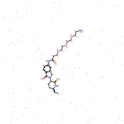 C/C=C1/CCC(N2Cc3cc(NC(=O)CCOCCOCCOCCN)ccc3C2=O)C(=O)N1